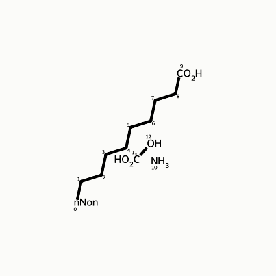 CCCCCCCCCCCCCCCCCC(=O)O.N.O=C(O)O